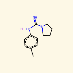 Cc1ccc(NC(=N)N2CCCC2)cc1.I